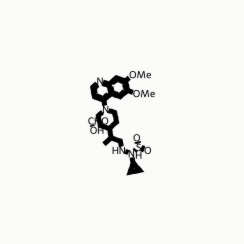 COc1cc2nccc(N3CCC(C(C)CNN(C4CC4)[SH](=O)=O)CC3)c2cc1OC.O=CO